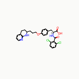 O=C(N[C@@H](Cc1ccc(OCCCC2CCc3cccnc3N2)cc1)C(=O)O)c1c(Cl)cccc1Cl